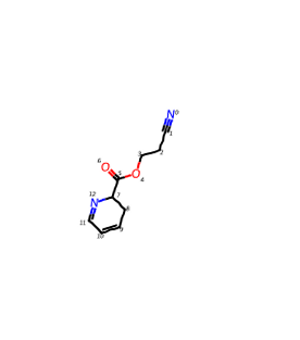 N#CCCOC(=O)C1CC=CC=N1